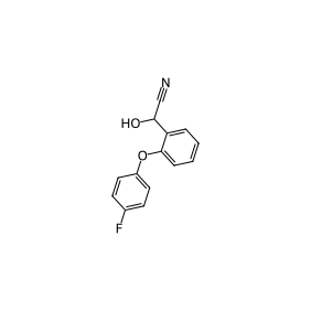 N#CC(O)c1ccccc1Oc1ccc(F)cc1